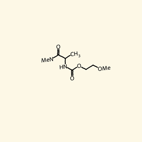 CNC(=O)C(C)NC(=O)OCCOC